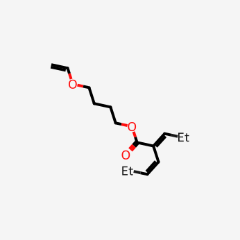 C=COCCCCOC(=O)C(/C=C\CC)=C/CC